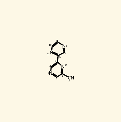 N#Cc1cncc(-c2cnccn2)n1